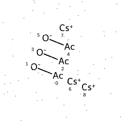 CC(=O)[O-].CC(=O)[O-].CC(=O)[O-].[Cs+].[Cs+].[Cs+]